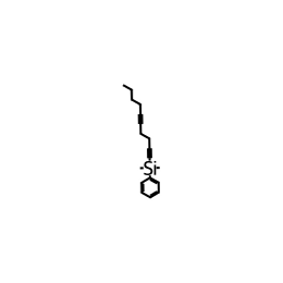 CCCCC#CCCC#C[Si](C)(C)c1ccccc1